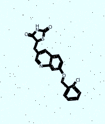 O=C1NC(=O)C(Cc2cnc3cc(OCc4ccccc4Cl)ccc3c2)S1